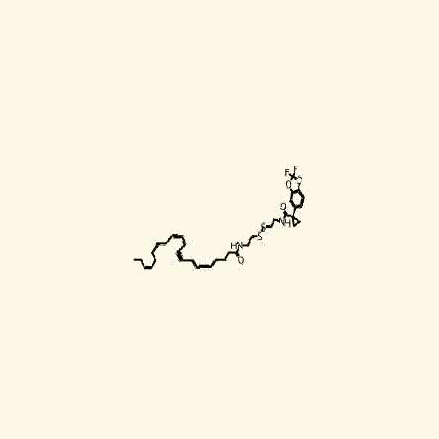 CC/C=C\C/C=C\C/C=C\C/C=C\C/C=C\CCCC(=O)NCCSSCCNC(=O)C1(c2ccc3c(c2)OC(F)(F)O3)CC1